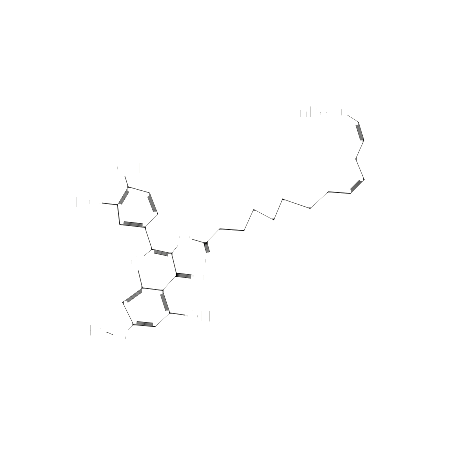 CCCCC/C=C\C/C=C\CCCCCCCC(=O)Oc1c(-c2ccc(O)c(O)c2)oc2cc(OC(C)C)cc(O)c2c1=O